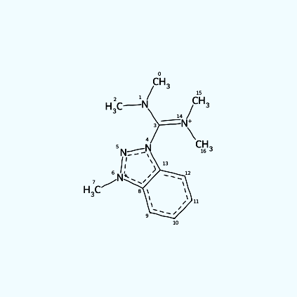 CN(C)C(n1n[n+](C)c2ccccc21)=[N+](C)C